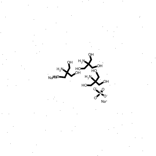 NC(CO)(CO)CO.NC(CO)(CO)CO.NC(CO)(CO)CO.O=P([O-])([O-])[O-].[Na+].[Na+].[Na+]